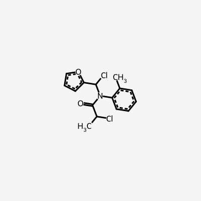 Cc1ccccc1N(C(=O)C(C)Cl)C(Cl)c1ccco1